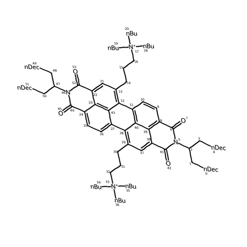 CCCCCCCCCCCC(CCCCCCCCCCC)N1C(=O)c2ccc3c4c(CCC[N+](CCCC)(CCCC)CCCC)cc5c6c(ccc(c7c(CCC[N+](CCCC)(CCCC)CCCC)cc(c2c37)C1=O)c64)C(=O)N(C(CCCCCCCCCCC)CCCCCCCCCCC)C5=O